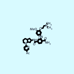 COc1ccc(Nc2cc(C(=O)NC3CC4CCCN(c5ccc(C(C)=O)cn5)C4C3)ccc2C(N)=O)cc1OCCN(C)C